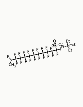 CC(F)C(F)(F)C(F)(F)C(F)(F)C(F)(F)C(F)(F)C(F)(F)C(F)(F)C(F)(F)C(F)(F)C(F)(F)S(=O)(=O)[O-].CC[N+](CC)(CC)CC